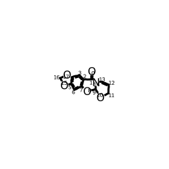 O=C1c2cc3c(cc2OC2OCC=CN12)OCO3